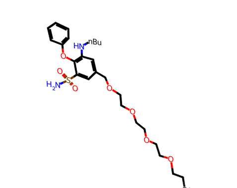 CCCCNc1cc(COCCOCCOCCOCCOC)cc(S(N)(=O)=O)c1Oc1ccccc1